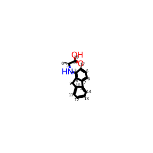 C[C@H](Nc1cccc2c1Cc1ccccc1-2)C(=O)O